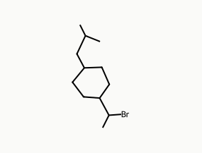 CC(C)CC1CCC(C(C)Br)CC1